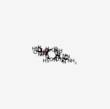 Nc1ncnc2c1ncn2[C@@H]1O[C@@H]2COC(S)O[C@@H]3[C@H](O)[C@@H](COP(=O)(S)O[C@H]2[C@H]1F)O[C@H]3n1cnc2c(=O)[nH]ncc21